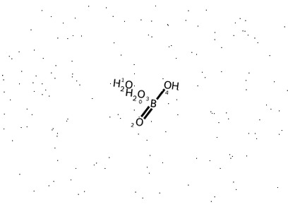 O.O.O=BO